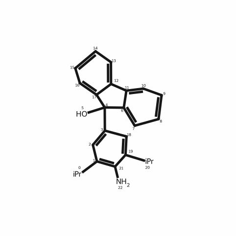 CC(C)c1cc(C2(O)c3ccccc3-c3ccccc32)cc(C(C)C)c1N